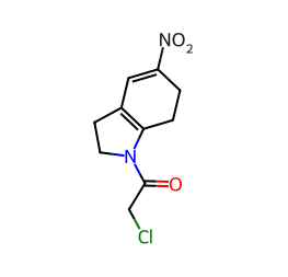 O=C(CCl)N1CCC2=C1CCC([N+](=O)[O-])=C2